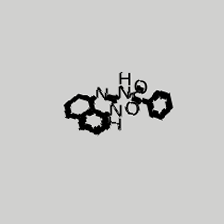 O=S(=O)(NC1=NC2CCCc3cccc(c32)N1)c1ccccc1